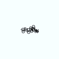 CCn1cc(CNC(=O)c2cccc(COC(=O)C(C)(C)CC(Br)C(=O)OC(C)(C)C)c2[N+](=O)[O-])nn1